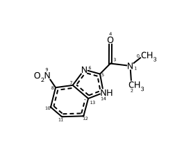 CN(C)C(=O)c1nc2c([N+](=O)[O-])cccc2[nH]1